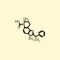 C[C@@H](c1ccccc1)c1nc2c3c(ccc2n1C)N(C(=O)O)[C@@H](C)CC3